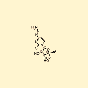 C#C[C@]1(CO)O[C@@H](n2ccc(N=NN)nc2=O)[C@H](O)[C@@H]1O